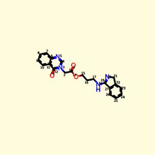 O=C(Cn1cnc2ccccc2c1=O)OCCCNC1=NCc2ccccc21